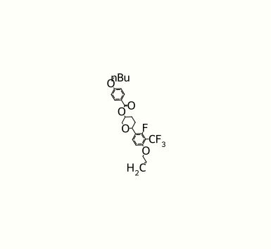 C=CCOc1ccc(C2CCC(OC(=O)c3ccc(OCCCC)cc3)CO2)c(F)c1C(F)(F)F